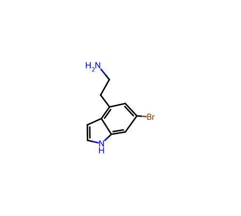 NCCc1cc(Br)cc2[nH]ccc12